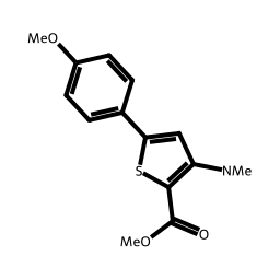 CNc1cc(-c2ccc(OC)cc2)sc1C(=O)OC